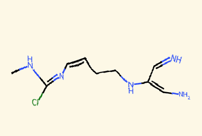 CN/C(Cl)=N\C=C/CCN/C(C=N)=C/N